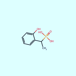 CC(c1ccccc1O)P(=O)(O)O